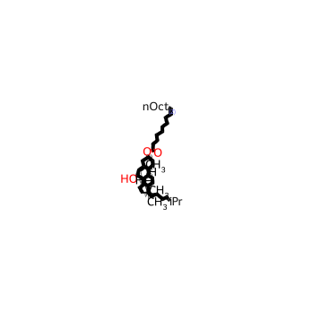 CCCCCCCC/C=C\CCCCCCCC(=O)O[C@H]1CC[C@@]2(C)C(=C[C@H](O)[C@H]3[C@@H]4CC[C@H]([C@H](C)CCCC(C)C)[C@@]4(C)CC[C@@H]32)C1